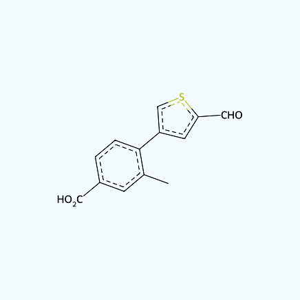 Cc1cc(C(=O)O)ccc1-c1csc(C=O)c1